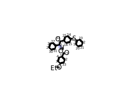 CCOc1ccc(C(=O)O/N=C(/C(=O)c2ccc(Sc3ccccc3)cc2)c2ccccc2)cc1